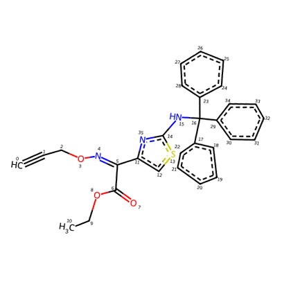 C#CCON=C(C(=O)OCC)c1csc(NC(c2ccccc2)(c2ccccc2)c2ccccc2)n1